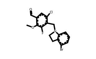 COc1c(C=O)cc(Cl)c(CN2CCc3c(Br)cccc32)c1F